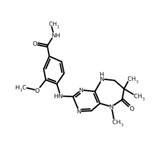 CNC(=O)c1ccc(Nc2ncc3c(n2)NCC(C)(C)C(=O)N3C)c(OC)c1